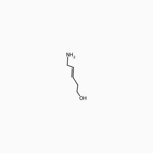 NCC=CCCO